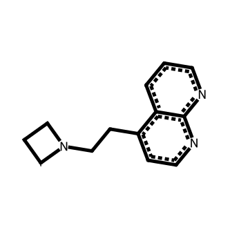 [CH]1CCN1CCc1ccnc2ncccc12